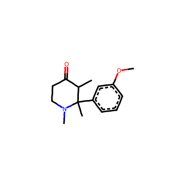 COc1cccc(C2(C)C(C)C(=O)CCN2C)c1